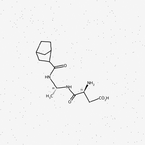 C[C@H](NC(=O)C1CC2CCC1C2)NC(=O)[C@@H](N)CC(=O)O